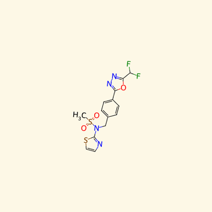 CS(=O)(=O)N(Cc1ccc(-c2nnc(C(F)F)o2)cc1)c1nccs1